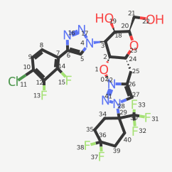 CO[C@@H]1[C@@H](n2cc(-c3ccc(Cl)c(F)c3F)nn2)[C@@H](O)[C@@H](CO)O[C@@H]1Cc1cn(C2(C(F)(F)F)CCC(F)(F)CC2)nn1